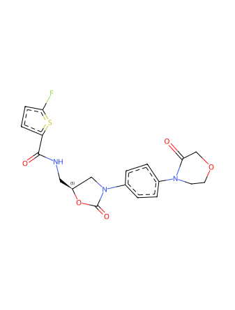 O=C(NC[C@H]1CN(c2ccc(N3CCOCC3=O)cc2)C(=O)O1)c1ccc(F)s1